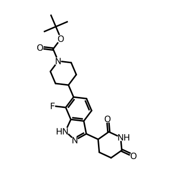 CC(C)(C)OC(=O)N1CCC(c2ccc3c(C4CCC(=O)NC4=O)n[nH]c3c2F)CC1